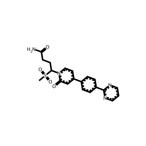 CS(=O)(=O)C(CCC(N)=O)n1ccc(-c2ccc(-c3ncccn3)cc2)cc1=O